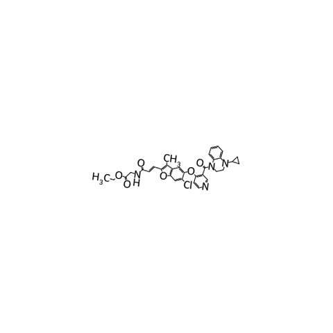 CCOC(=O)CNC(=O)/C=C/c1oc2cc(Cl)c(Oc3ccncc3C(=O)N3CCN(C4CC4)c4ccccc43)cc2c1C